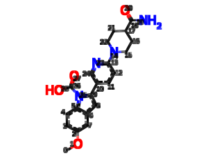 COc1ccc2c(c1)cc(-c1ccc(N3CCC(C(N)=O)CC3)nc1)n2C(=O)O